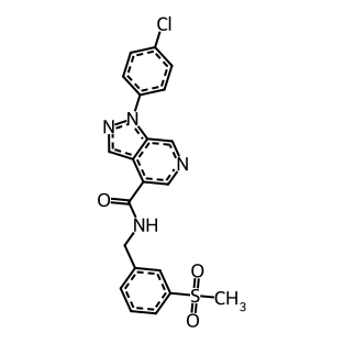 CS(=O)(=O)c1cccc(CNC(=O)c2cncc3c2cnn3-c2ccc(Cl)cc2)c1